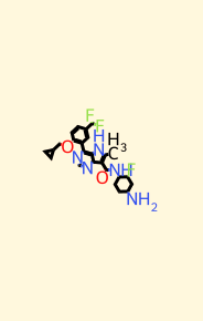 Cc1[nH]c2c(-c3cc(C(F)F)ccc3OCC3CC3)ncnc2c1C(=O)NC1CCC(N)CC1F